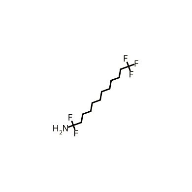 NC(F)(F)CCCCCCCCCCC(F)(F)F